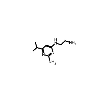 CC(C)c1cc(NCCN)nc(N)n1